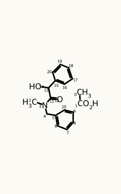 CC(=O)O.CN(Cc1ccccc1)C(=O)C(O)c1ccccc1